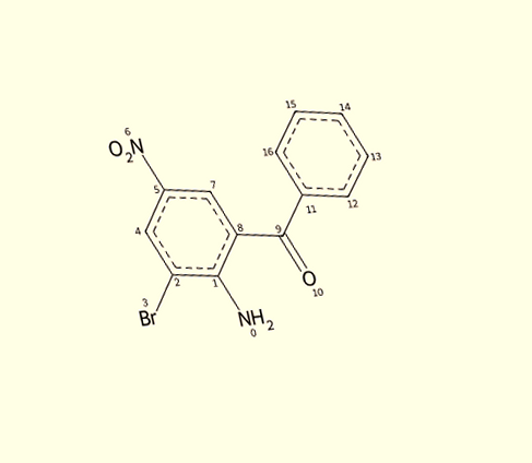 Nc1c(Br)cc([N+](=O)[O-])cc1C(=O)c1ccccc1